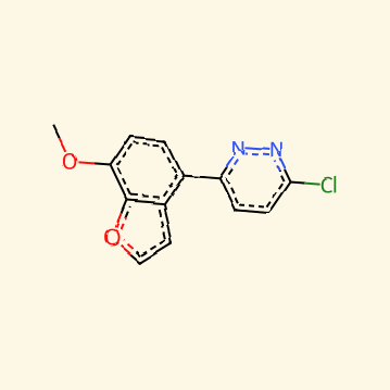 COc1ccc(-c2ccc(Cl)nn2)c2ccoc12